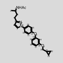 CC(=O)NC(C)CCc1ccn(-c2ccc(Oc3cccc(OCC4CC4)c3)cc2)n1